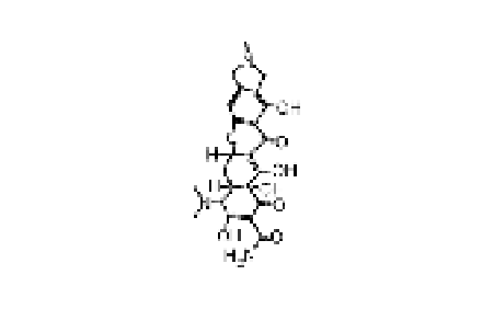 CN1Cc2cc3c(c(O)c2C1)C(=O)C1=C(O)[C@]2(O)C(=O)C(C(N)=O)=C(O)[C@@H](N(C)C)[C@@H]2C[C@@H]1C3